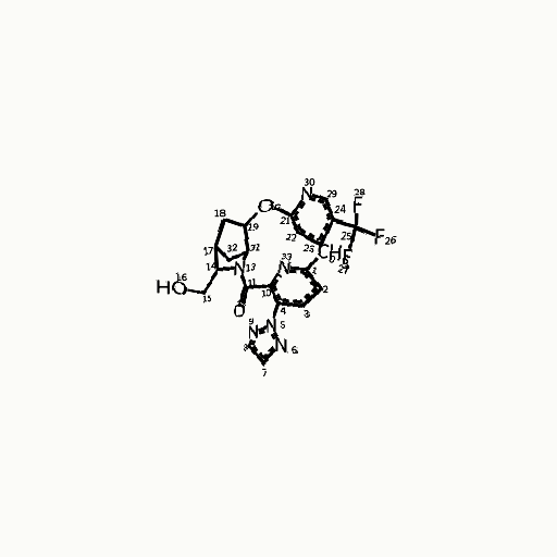 Cc1ccc(-n2nccn2)c(C(=O)N2C(CO)C3CC(Oc4ccc(C(F)(F)F)cn4)C2C3)n1